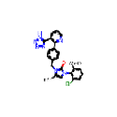 CCCc1cn(-c2c(Br)cccc2OC)c(=O)n1Cc1ccc(-c2ncccc2-c2nnn[nH]2)cc1